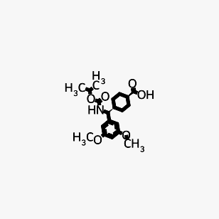 COc1cc(OC)cc(C(NC(=O)OC(C)C)[C@H]2CC[C@H](C(=O)O)CC2)c1